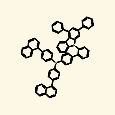 c1ccc(-c2cc(-c3ccccc3)c3c4ccccc4n(-c4ccccc4-c4ccc(N(c5ccc(-c6cccc7ccccc67)cc5)c5ccc(-c6cccc7ccccc67)cc5)cc4)c3c2)cc1